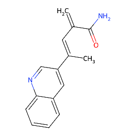 C=C(C=C(C)c1cnc2ccccc2c1)C(N)=O